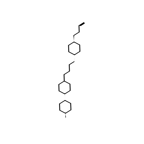 C=CCC[C@H]1CC[C@H](CCCCC2CCC([C@H]3CC[C@H](CC)CC3)CC2)CC1